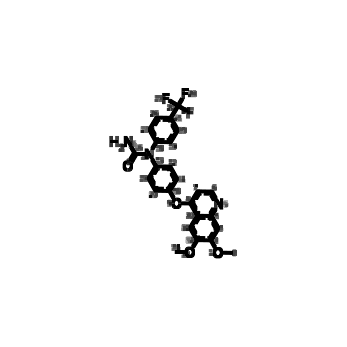 COc1cc2nccc(Oc3ccc(N(C(N)=O)c4ccc(C(F)(F)F)cc4)cc3)c2cc1OC